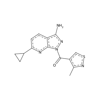 Cc1nscc1C(=O)n1nc(N)c2ccc(C3CC3)nc21